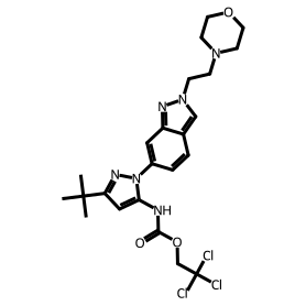 CC(C)(C)c1cc(NC(=O)OCC(Cl)(Cl)Cl)n(-c2ccc3cn(CCN4CCOCC4)nc3c2)n1